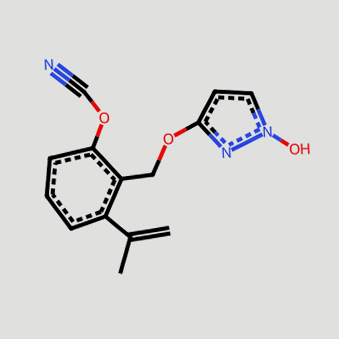 C=C(C)c1cccc(OC#N)c1COc1ccn(O)n1